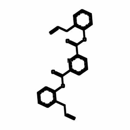 C=CCc1ccccc1OC(=O)c1cccc(C(=O)Oc2ccccc2CC=C)n1